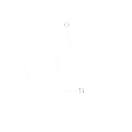 CCC(=O)c1ccccc1.CN(C)C